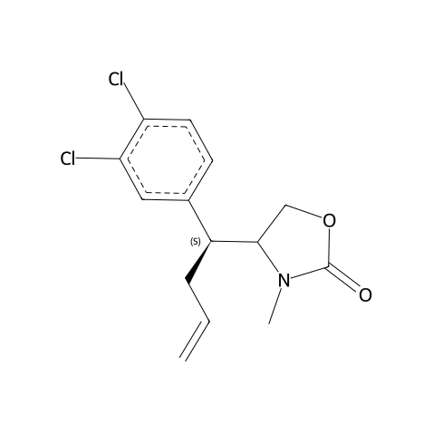 C=CC[C@@H](c1ccc(Cl)c(Cl)c1)C1COC(=O)N1C